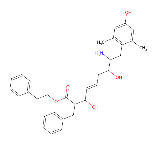 Cc1cc(O)cc(C)c1CC(N)C(O)CC=CC(O)C(Cc1ccccc1)C(=O)OCCc1ccccc1